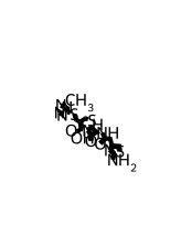 Cn1nnnc1SCC1=C(C(=O)O)N2C(=O)[C@@H](NC(=O)Cc3csc(N)n3)[C@@H]2SC1